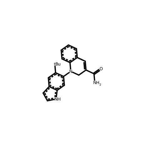 CC(C)(C)c1cc2cc[nH]c2cc1N1CC(C(N)=O)=Cc2ccccc21